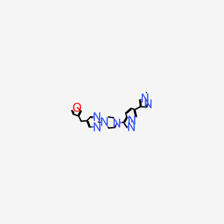 Cn1cc(-c2ccc3c(N4CCN(c5ncc(Cc6ccoc6)cn5)CC4)cnn3c2)cn1